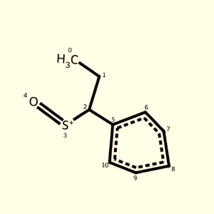 CCC([S+]=O)c1ccccc1